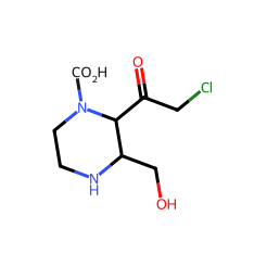 O=C(CCl)C1C(CO)NCCN1C(=O)O